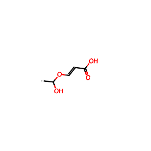 [CH2]C(O)OC=CC(=O)O